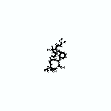 CC[C@H](OC)[C@@H](C)C1OC1C(NCC1CCCCCC1)C(C)(O)/C=C/C=C(\C)[C@H]1OC(=O)CC(O)CCC(C)(O)[C@@H](OC(C)=O)/C=C/C1C